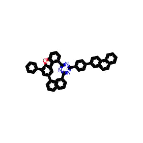 c1ccc(-c2cc(-c3ccccc3)c3oc4cccc(-c5nc(-c6ccccc6)nc(-c6ccc(-c7ccc8c(ccc9ccccc98)c7)cc6)n5)c4c3c2)cc1